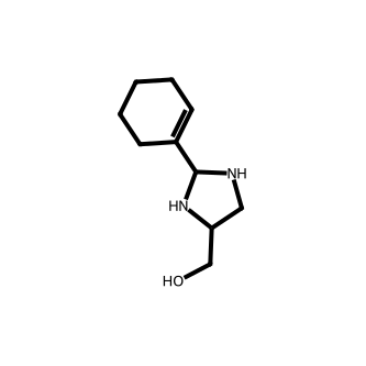 OCC1CNC(C2=CCCCC2)N1